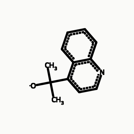 CC(C)([O])c1ccnc2ccccc12